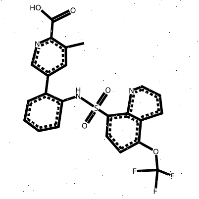 Cc1cc(-c2ccccc2NS(=O)(=O)c2ccc(OC(F)(F)F)c3cccnc23)cnc1C(=O)O